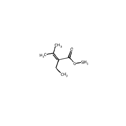 CCC(C(=O)O[SiH3])=C(C)C